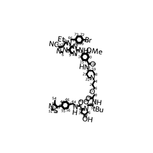 CC[C@@H]1c2c(C#N)ncn2-c2cnc(Nc3ccc(C(=O)NC4CCN(CCCOCC(=O)N[C@H](C(=O)N5C[C@H](O)C[C@H]5C(=O)NCc5ccc(-c6scnc6C)cc5)C(C)(C)C)CC4)cc3OC)nc2N1Cc1ccc(Br)cc1